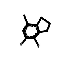 Cc1cc(F)c(F)c2c1CCC2